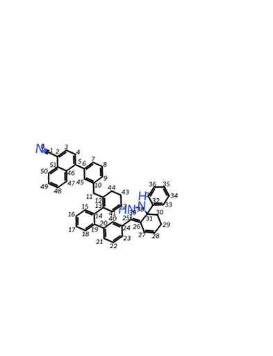 N#Cc1ccc(-c2cccc(CC3=C(c4ccccc4-c4cccc(C5=C6C=CCCC6(c6ccccc6)NN5)c4)C=CCC3)c2)c2ccccc12